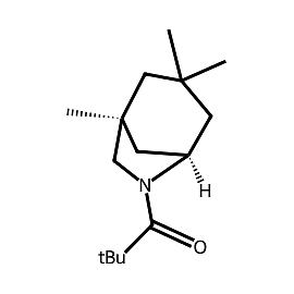 CC1(C)C[C@@H]2C[C@@](C)(CN2C(=O)C(C)(C)C)C1